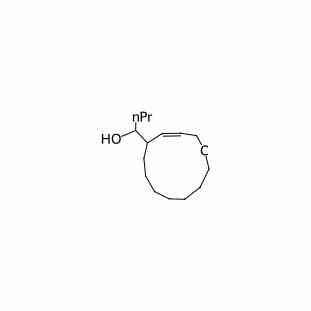 CCCC(O)C1C=CCCCCCCCCC1